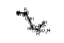 CCOCCNC(=O)CCC(NC(=O)CC[C@H](NC(=O)COCCOCCNC(=O)CCCS(=O)(=O)NC(=O)CCCc1nnn[nH]1)C(=O)O)C(=O)O